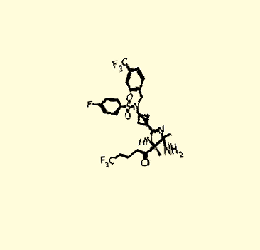 CC1(N)N=C(C23CC(N(Cc4ccc(C(F)(F)F)cc4)S(=O)(=O)c4ccc(F)cc4)(C2)C3)N[C@@]1(C)C(=O)CCCC(F)(F)F